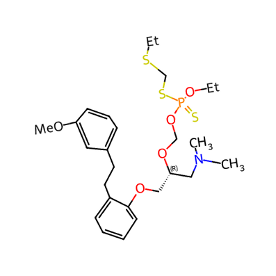 CCOP(=S)(OCO[C@@H](COc1ccccc1CCc1cccc(OC)c1)CN(C)C)SCSCC